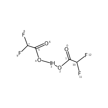 O=C(O[IH]OC(=O)C(F)F)C(F)F